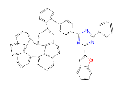 c1ccc(-c2nc(-c3ccc(-c4ccccc4-c4cc5ccc6cccc7c8cccc9ccc%10cccc(c(c4)c5c67)c%10c98)cc3)nc(-c3cc4ccccc4o3)n2)cc1